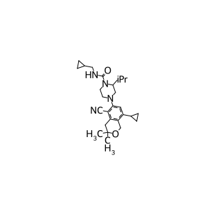 CC(C)C1CN(c2cc(C3CC3)c3c(c2C#N)CC(C)(C)OC3)CCN1C(=O)NCC1CC1